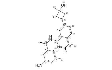 Cc1cc(N)cc([C@@H](C)Nc2nnc(C)c3cnc(N4CC(C)(O)C4)cc23)n1